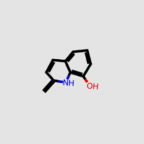 C=C1C=Cc2cccc(O)c2N1